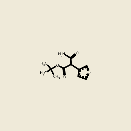 CC(C)(C)OC(=O)C(C(N)=O)c1ccsc1